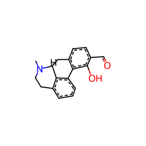 CN1CCc2cccc3c2[C@@H]1Cc1ccc(C=O)c(O)c1-3